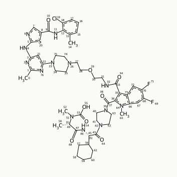 Cc1nc(Nc2ncc(C(=O)Nc3c(C)cccc3Cl)s2)cc(N2CCN(CCOCCNC(=O)c3c(C(=O)N4CCN(C(=O)[C@@H](NC(=O)[C@H](C)N(C)C(=O)O)C5CCCCC5)CC4)n(C)c4cc(F)c(F)cc34)CC2)n1